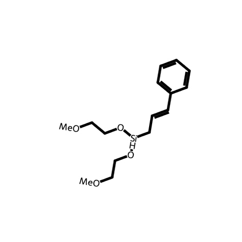 COCCO[SiH](CC=Cc1ccccc1)OCCOC